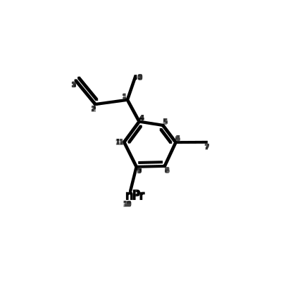 [CH2]C(C=C)c1cc(C)cc(CCC)c1